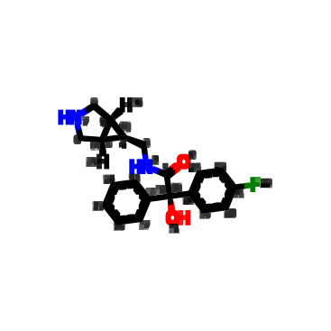 O=C(NC[C@H]1[C@@H]2CNC[C@@H]21)[C@@](O)(c1ccccc1)c1ccc(F)cc1